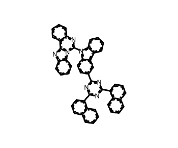 c1ccc2c(-c3nc(-c4ccc5c(c4)c4ccccc4n5-c4nc5ccccc5c5nc6ccccc6n45)nc(-c4cccc5ccccc45)n3)cccc2c1